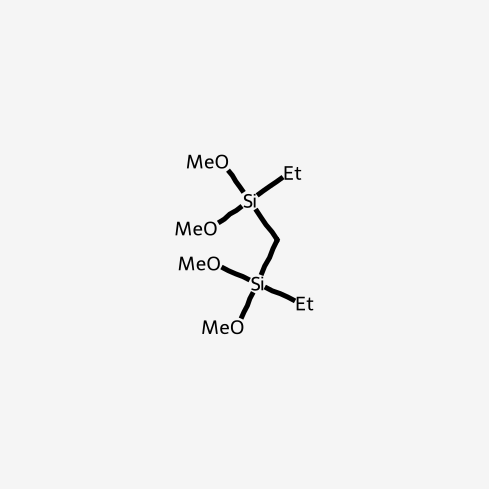 CC[Si](C[Si](CC)(OC)OC)(OC)OC